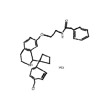 Cl.O=C(NCCOc1ccc2c(c1)C(C1(c3ccc(Cl)cc3)CCC1)NCC2)c1ccccc1